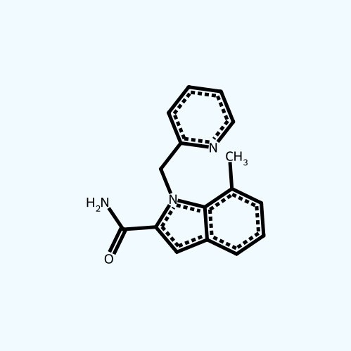 Cc1cccc2cc(C(N)=O)n(Cc3ccccn3)c12